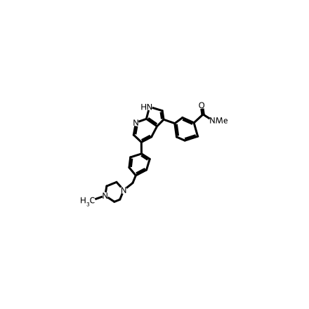 CNC(=O)c1cccc(-c2c[nH]c3ncc(-c4ccc(CN5CCN(C)CC5)cc4)cc23)c1